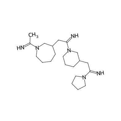 CC(=N)N1CCCCC(CC(=N)N2CCCC(CC(=N)N3CCCC3)C2)C1